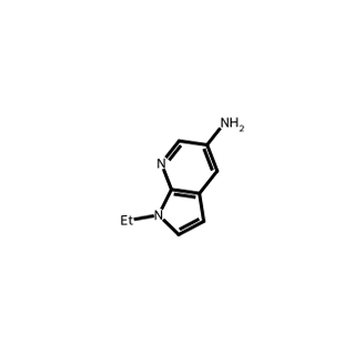 CCn1ccc2cc(N)cnc21